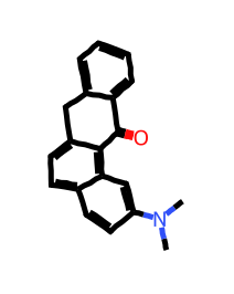 CN(C)c1ccc2ccc3c(c2c1)C(=O)c1ccccc1C3